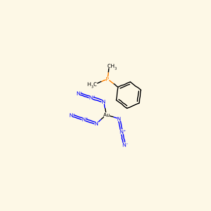 CP(C)c1ccccc1.[N-]=[N+]=[N][Au]([N]=[N+]=[N-])[N]=[N+]=[N-]